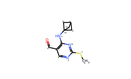 CSc1ncc(C=O)c(NC23CC(C2)C3)n1